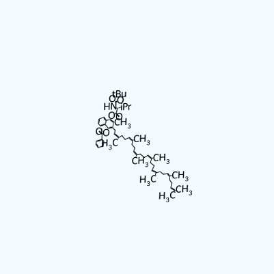 CC(C)=CCCC(C)=CCCC(C)=CCCC(C)=CCCC(C)=CCCC(C)=CCCC(C)=CCc1c(C)c(OC(=O)[C@@H](NC(=O)OC(C)(C)C)C(C)C)c2ccccc2c1OC(=O)c1ccccc1